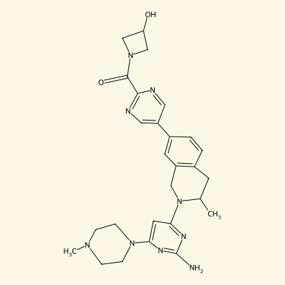 CC1Cc2ccc(-c3cnc(C(=O)N4CC(O)C4)nc3)cc2CN1c1cc(N2CCN(C)CC2)nc(N)n1